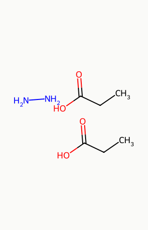 CCC(=O)O.CCC(=O)O.NN